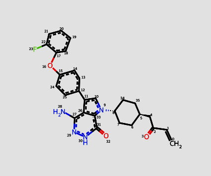 C=CC(=O)C[C@H]1CC[C@H](n2cc(-c3ccc(Oc4ccccc4F)cc3)c3c(N)n[nH]c(=O)c32)CC1